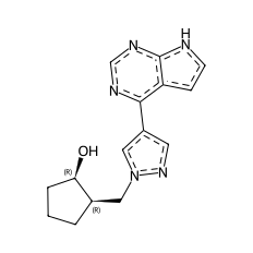 O[C@@H]1CCC[C@@H]1Cn1cc(-c2ncnc3[nH]ccc23)cn1